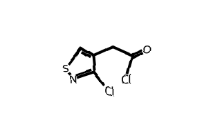 O=C(Cl)Cc1csnc1Cl